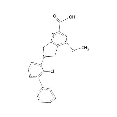 COc1nc(C(=O)O)nc2c1CN(c1cccc(-c3ccccc3)c1Cl)C2